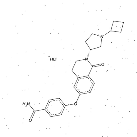 Cl.NC(=O)c1ccc(Oc2ccc3c(c2)CCN([C@@H]2CCN(C4CCC4)C2)C3=O)cc1